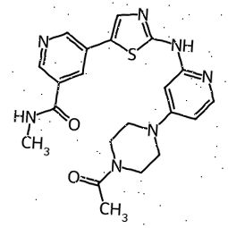 CNC(=O)c1cncc(-c2cnc(Nc3cc(N4CCN(C(C)=O)CC4)ccn3)s2)c1